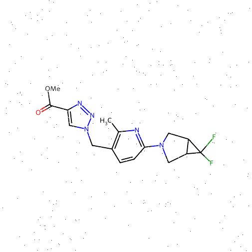 COC(=O)c1cn(Cc2ccc(N3CC4C(C3)C4(F)F)nc2C)nn1